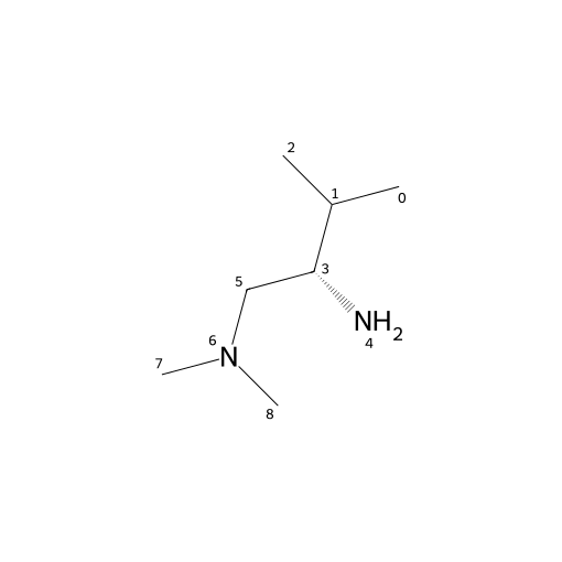 CC(C)[C@H](N)CN(C)C